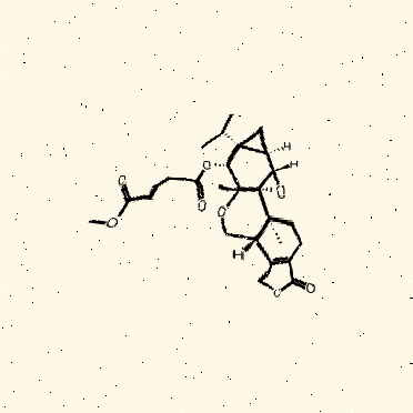 COC(=O)CCC(=O)O[C@@H]1[C@@]2(C(C)C)C[C@H]2[C@@H]2O[C@@]23[C@@]2(C)CCC4=C(COC4=O)[C@@H]2CO[C@]13C